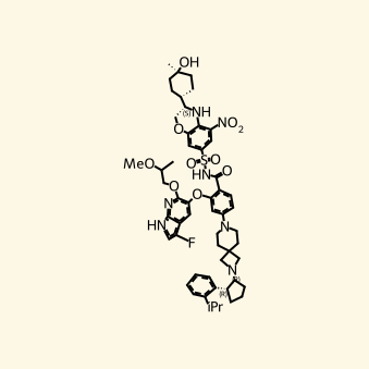 COC(C)COc1nc2[nH]cc(F)c2cc1Oc1cc(N2CCC3(CC2)CN([C@@H]2CCC[C@@H]2c2ccccc2C(C)C)C3)ccc1C(=O)NS(=O)(=O)c1cc2c(c([N+](=O)[O-])c1)N[C@@H]([C@H]1CC[C@](C)(O)CC1)CO2